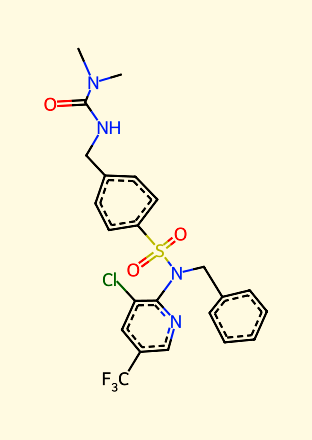 CN(C)C(=O)NCc1ccc(S(=O)(=O)N(Cc2ccccc2)c2ncc(C(F)(F)F)cc2Cl)cc1